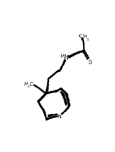 CC(=O)NCCC1(C)C=CN=CC1